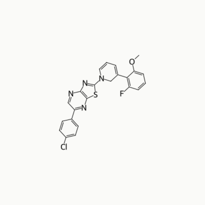 COc1cccc(F)c1C1=CC=CN(c2nc3ncc(-c4ccc(Cl)cc4)nc3s2)C1